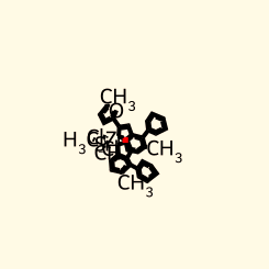 Cc1ccc(C2=Cc3c(ccc(C)c3-c3ccccc3)[CH]2[Zr]([Cl])([Cl])([CH]2C=Cc3c2ccc(C)c3-c2ccccc2)=[Si](C)C)o1